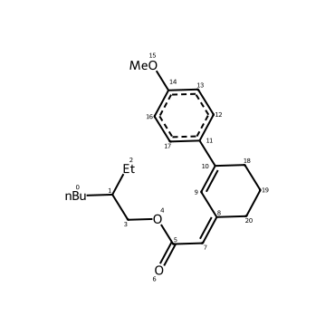 CCCCC(CC)COC(=O)C=C1C=C(c2ccc(OC)cc2)CCC1